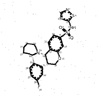 O=S(=O)(Nc1ncns1)c1ccc2c(c1)OCC[C@@H]2N1CCCC[C@H]1c1ccc(F)cc1